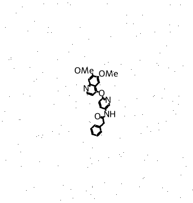 COc1cc2nccc(Oc3ccc(NC(=O)Cc4ccccc4)cn3)c2cc1OC